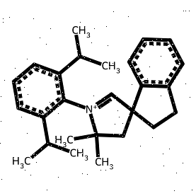 CC(C)c1cccc(C(C)C)c1[N+]1=CC2(CCc3ccccc32)CC1(C)C